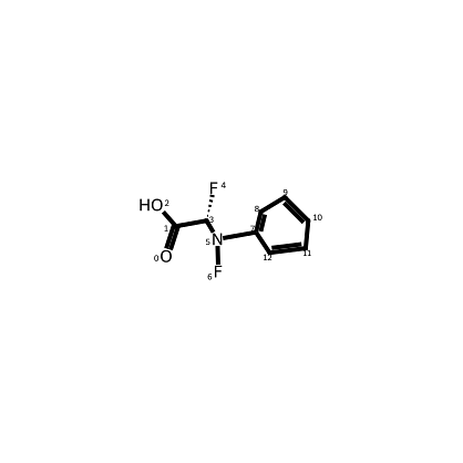 O=C(O)[C@H](F)N(F)c1ccccc1